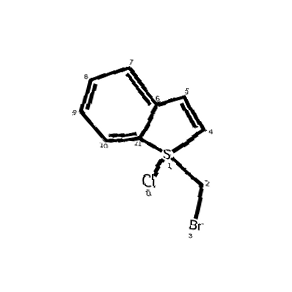 ClS1(CBr)C=Cc2ccccc21